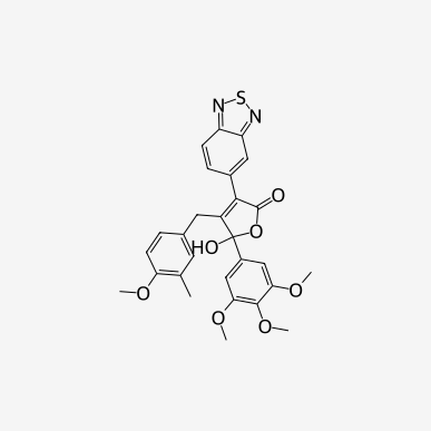 COc1ccc(CC2=C(c3ccc4nsnc4c3)C(=O)OC2(O)c2cc(OC)c(OC)c(OC)c2)cc1C